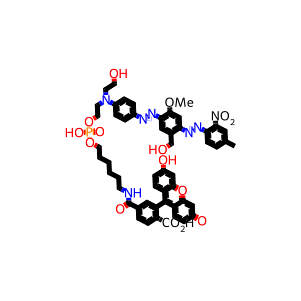 COc1cc(/N=N/c2ccc(C)cc2[N+](=O)[O-])c(CO)cc1/N=N/c1ccc(N(CCO)CCOP(=O)(O)OCCCCCCNC(=O)c2ccc(C(=O)O)c(-c3c4ccc(=O)cc-4oc4cc(O)ccc34)c2)cc1